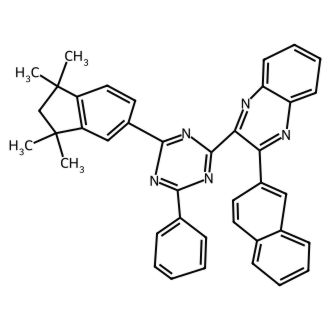 CC1(C)CC(C)(C)c2cc(-c3nc(-c4ccccc4)nc(-c4nc5ccccc5nc4-c4ccc5ccccc5c4)n3)ccc21